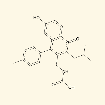 Cc1ccc(-c2c(CNC(=O)O)n(CC(C)C)c(=O)c3ccc(O)cc23)cc1